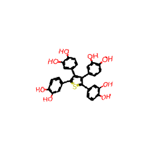 Oc1ccc(-c2sc(-c3ccc(O)c(O)c3)c(-c3ccc(O)c(O)c3)c2-c2ccc(O)c(O)c2)cc1O